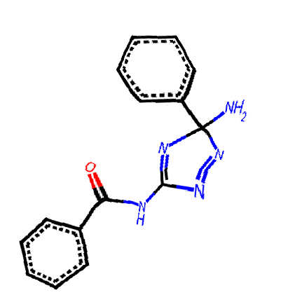 NC1(c2ccccc2)N=NC(NC(=O)c2ccccc2)=N1